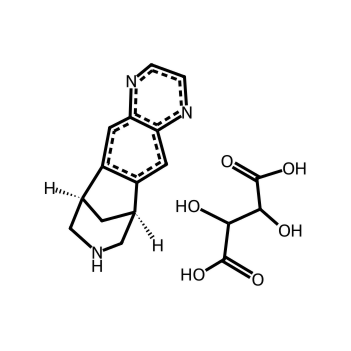 O=C(O)C(O)C(O)C(=O)O.c1cnc2cc3c(cc2n1)[C@@H]1CNC[C@H]3C1